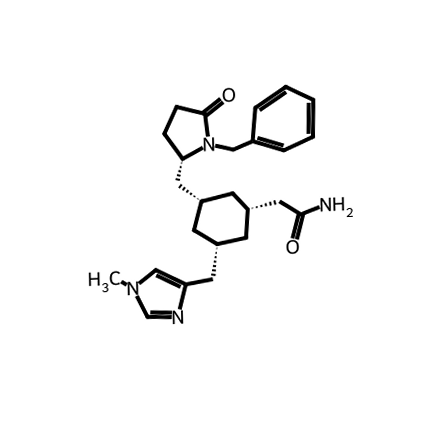 Cn1cnc(C[C@H]2C[C@@H](CC(N)=O)C[C@@H](C[C@@H]3CCC(=O)N3Cc3ccccc3)C2)c1